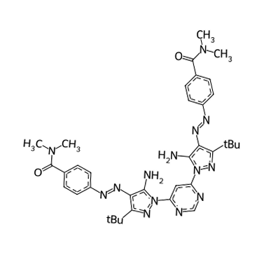 CN(C)C(=O)c1ccc(/N=N/c2c(C(C)(C)C)nn(-c3cc(-n4nc(C(C)(C)C)c(/N=N/c5ccc(C(=O)N(C)C)cc5)c4N)ncn3)c2N)cc1